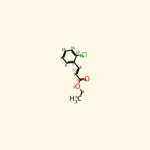 CCOC(=O)/C=C/c1ccccc1Cl